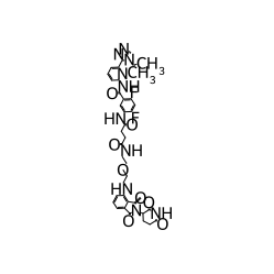 CC(C)n1cnnc1-c1cccc(NC(=O)c2cc(NC(=O)CCC(=O)NCCOCCNc3cccc4c3C(=O)N(C3CCC(=O)NC3=O)C4=O)c(F)cc2F)n1